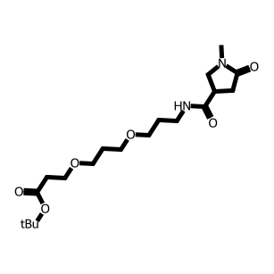 CN1CC(C(=O)NCCCOCCCOCCC(=O)OC(C)(C)C)CC1=O